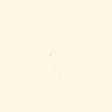 CSCCC(=O)C(CC=O)SC